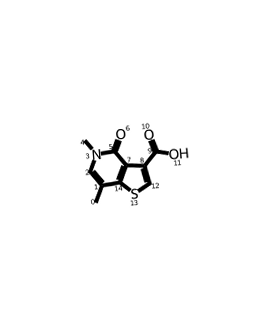 Cc1cn(C)c(=O)c2c(C(=O)O)csc12